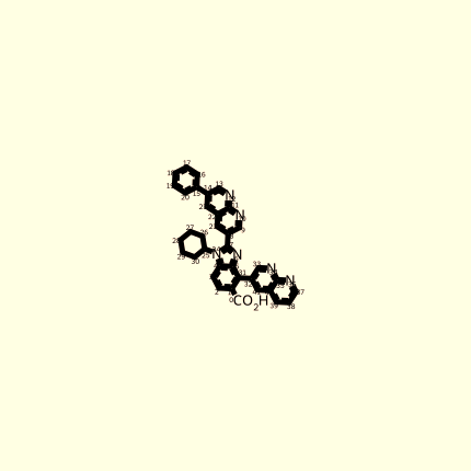 O=C(O)c1ccc2c(nc(-c3cnc4ncc(-c5ccccc5)cc4c3)n2C2CCCCC2)c1-c1cnc2ncccc2c1